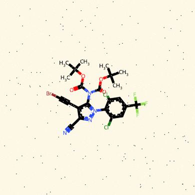 CC(C)(C)OC(=O)N(C(=O)OC(C)(C)C)c1c(C#CBr)c(C#N)nn1-c1c(Cl)cc(C(F)(F)F)cc1Cl